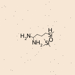 C[SiH](CCCC(N)N)O[Si](C)(C)C